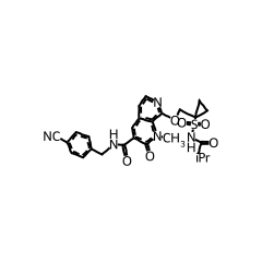 CC(C)C(=O)NS(=O)(=O)C1(COc2nccc3cc(C(=O)NCc4ccc(C#N)cc4)c(=O)n(C)c23)CC1